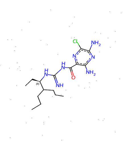 CCCC(CCC)[C@@H](CC)NC(=N)NC(=O)c1nc(Cl)c(N)nc1N